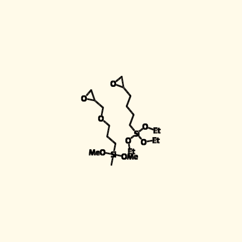 CCO[Si](CCCCC1CO1)(OCC)OCC.CO[Si](C)(CCCOCC1CO1)OC